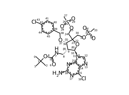 CC(C)(C)OC(=O)NC[C@H]1[C@H](n2cnc3c(Cl)nc(N)nc32)OC(COS(C)(=O)=O)(COS(C)(=O)=O)[C@H]1OCc1ccc(Cl)cc1